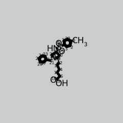 Cc1ccc(S(=O)(=O)N[C@@H]2C[C@@H](C=CCCCC(=O)O)N(Cc3ccccc3)C2)cc1